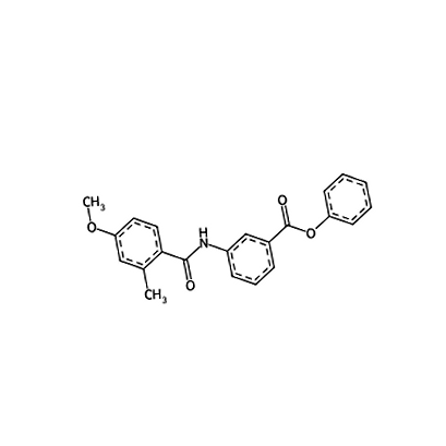 COc1ccc(C(=O)Nc2cccc(C(=O)Oc3ccccc3)c2)c(C)c1